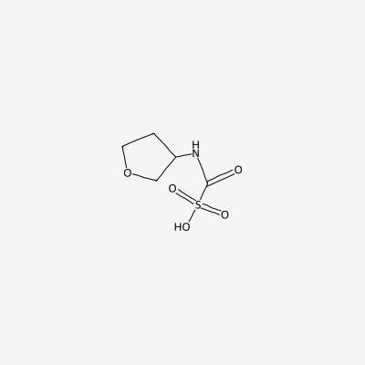 O=C(NC1CCOC1)S(=O)(=O)O